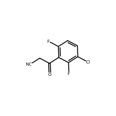 N#CCC(=O)c1c(F)ccc(Cl)c1F